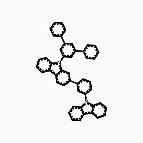 c1ccc(-c2cc(-c3ccccc3)cc(-n3c4ccccc4c4ccc(-c5cccc(-n6c7ccccc7c7ccccc76)c5)cc43)c2)cc1